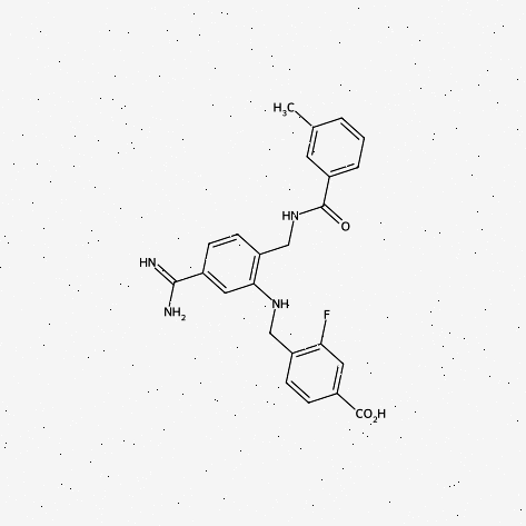 Cc1cccc(C(=O)NCc2ccc(C(=N)N)cc2NCc2ccc(C(=O)O)cc2F)c1